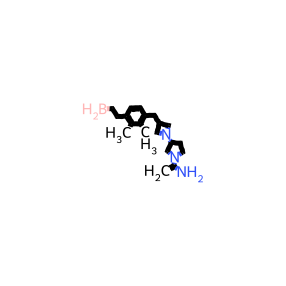 BCCc1ccc(CC2CN(C3CCN(C(=C)N)C3)C2)c(C)c1C